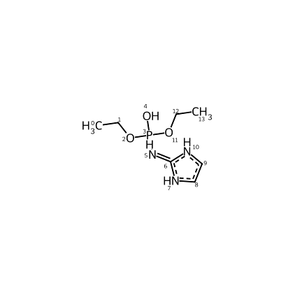 CCO[PH](O)(N=c1[nH]cc[nH]1)OCC